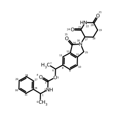 CC(NC(=O)OC(C)c1ccc2c(c1)C(=O)N(C1CCC(=O)NC1=O)C2)c1ccccc1